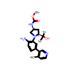 [2H]C([2H])(O)[C@@H]1C[C@H](NC(=O)OC(C)(C)C)CN1c1cc(-c2cnccc2C#N)ccc1N